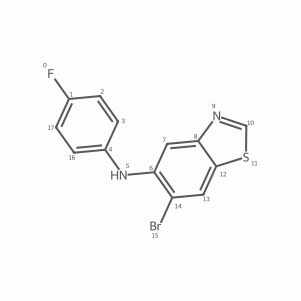 Fc1ccc(Nc2cc3ncsc3cc2Br)cc1